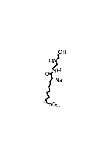 CCCCCCCC/C=C\CCCCCCCC(=O)NCCNCCO.[Na]